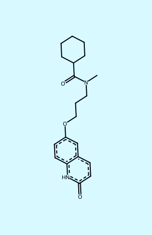 CN(CCCOc1ccc2[nH]c(=O)ccc2c1)C(=O)C1CCCCC1